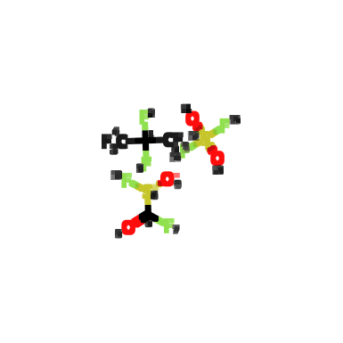 FC(F)(F)C(F)(F)C(F)(F)F.O=C(F)[S+]([O-])F.O=S(=O)(F)F